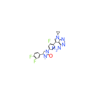 CN1C(=O)N(c2ccc(-c3cn(C4CC4)c4ncnc(N)c34)c(F)c2)CC1c1ccc(F)c(F)c1